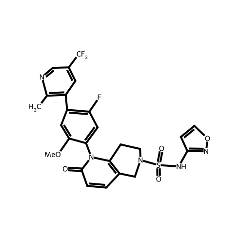 COc1cc(-c2cc(C(F)(F)F)cnc2C)c(F)cc1-n1c2c(ccc1=O)CN(S(=O)(=O)Nc1ccon1)CC2